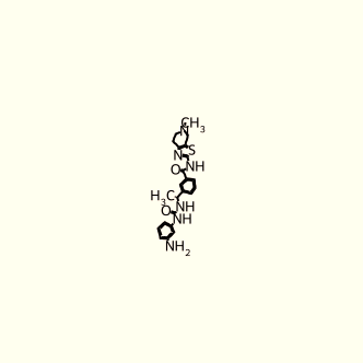 C[C@@H](NC(=O)Nc1cccc(N)c1)c1cccc(C(=O)Nc2nc3c(s2)CN(C)CC3)c1